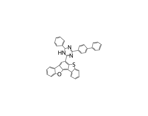 c1ccc(-c2ccc(C3=NC(c4ccccc4)NC(c4cc5c6ccccc6oc5c5c4sc4ccccc45)=N3)cc2)cc1